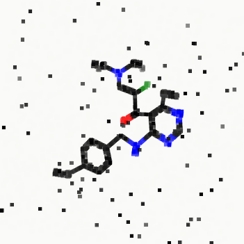 COc1ccc(CNc2ncnc(OC)c2C(=O)/C(F)=C/N(C)C)cc1